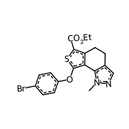 CCOC(=O)c1sc(Oc2ccc(Br)cc2)c2c1CCc1cnn(C)c1-2